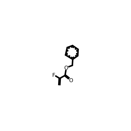 C=C(F)C(=O)OCc1ccccc1